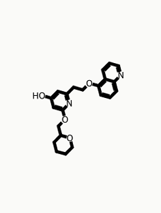 Oc1cc(CCOc2cccc3ncccc23)nc(OCC2CCCCO2)c1